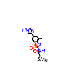 CSCCNC(=Nc1ccc(-c2c[nH]cn2)cc1C)P(=O)(O)O